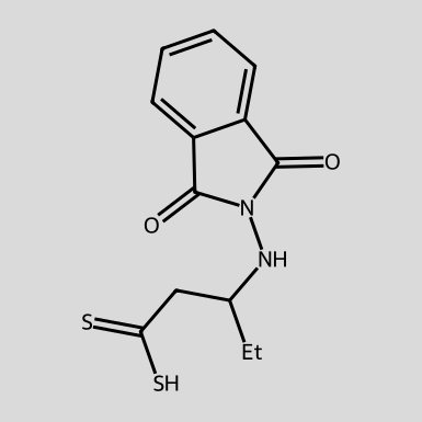 CCC(CC(=S)S)NN1C(=O)c2ccccc2C1=O